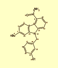 CCCCc1c[c]c2c3c(C(N)=O)cccc3n(Cc3cccc(CC)c3)c2c1